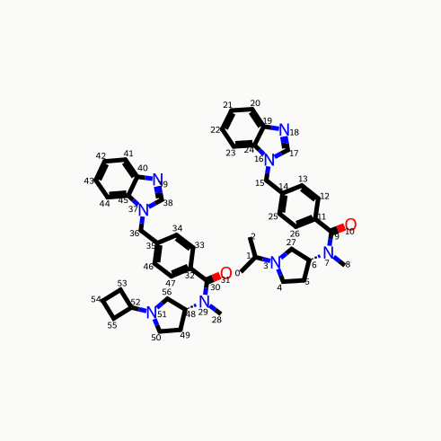 CC(C)N1CC[C@@H](N(C)C(=O)c2ccc(Cn3cnc4ccccc43)cc2)C1.CN(C(=O)c1ccc(Cn2cnc3ccccc32)cc1)[C@@H]1CCN(C2CCC2)C1